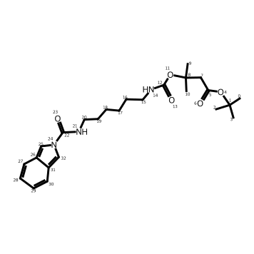 CC(C)(C)OC(=O)CC(C)(C)OC(=O)NCCCCCCNC(=O)n1cc2ccccc2c1